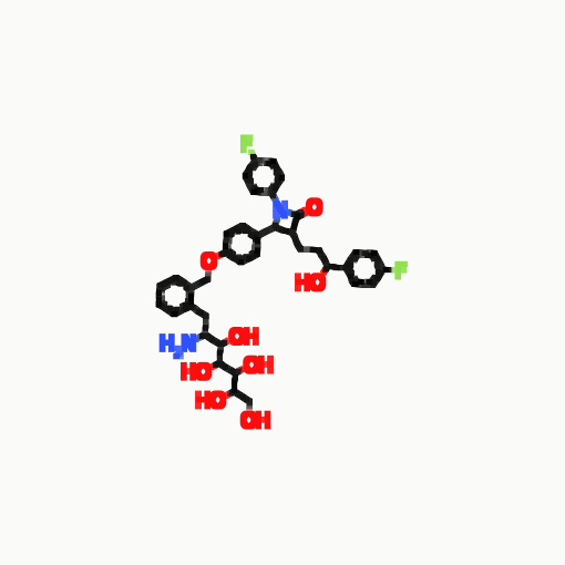 NC(Cc1ccccc1COc1ccc(C2C(CCC(O)c3ccc(F)cc3)C(=O)N2c2ccc(F)cc2)cc1)C(O)C(O)C(O)C(O)CO